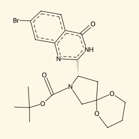 CC(C)(C)OC(=O)N1CC2(C[C@H]1c1nc3cc(Br)ccc3c(=O)[nH]1)OCCCO2